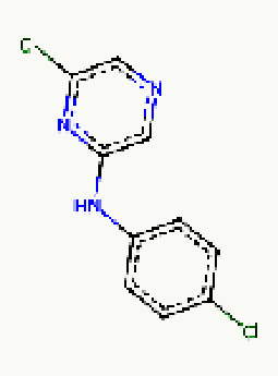 Clc1ccc(Nc2cncc(Cl)n2)cc1